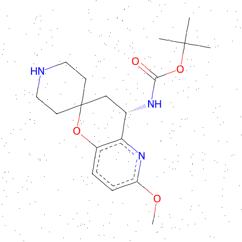 COc1ccc2c(n1)[C@@H](NC(=O)OC(C)(C)C)CC1(CCNCC1)O2